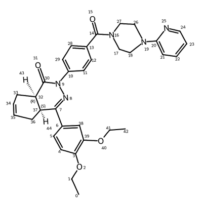 CCOc1ccc(C2=NN(c3ccc(C(=O)N4CCN(c5ccccn5)CC4)cc3)C(=O)[C@@H]3CC=CC[C@H]23)cc1OCC